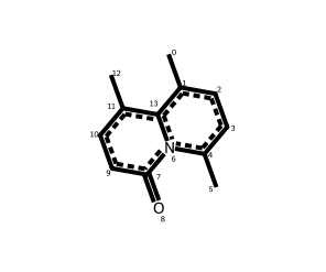 Cc1ccc(C)n2c(=O)ccc(C)c12